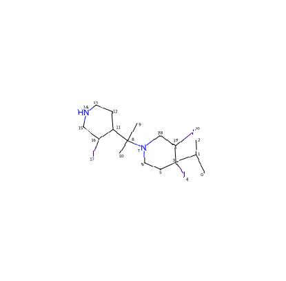 CC(C)C1(I)CCN(C(C)(C)C2CCNCC2I)CC1I